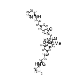 COC(=O)C(CNC(=O)c1ccc(CCCNc2ccccn2)cc1)NS(=O)(=O)c1c(C)cc(OCCCC(=O)NCCN)cc1C